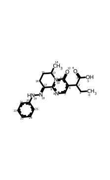 CCC(C(=O)O)c1cnc2n(c1=O)C(C)CCC2=NNc1ccccc1